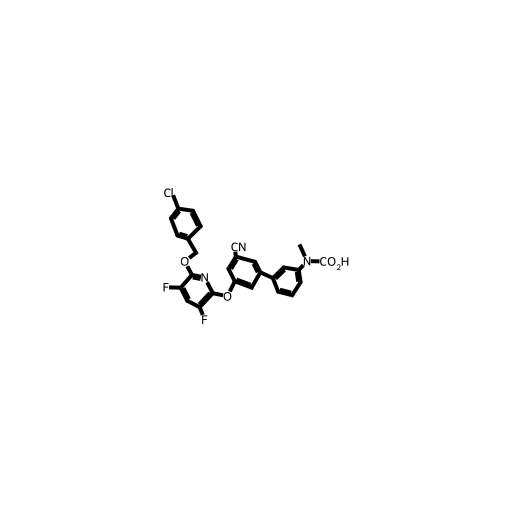 CN(C(=O)O)c1cccc(-c2cc(C#N)cc(Oc3nc(OCc4ccc(Cl)cc4)c(F)cc3F)c2)c1